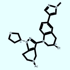 CC[C@@H]1Cc2cc(-c3cnn(C)c3)ccc2N(c2nn([C@@H]3CCOC3)c3c2CN(C(C)=O)CC3)C1